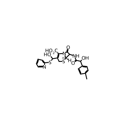 Cc1ccc(C(O)C(=O)NC2C(=O)N3C(C(=O)O)=C(C(O)Sc4ccccn4)CS[C@@H]23)cc1